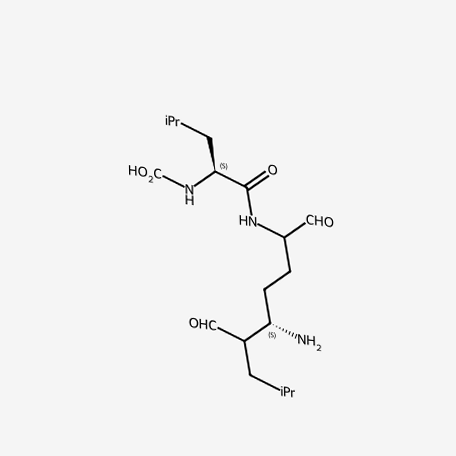 CC(C)CC(C=O)[C@@H](N)CCC(C=O)NC(=O)[C@H](CC(C)C)NC(=O)O